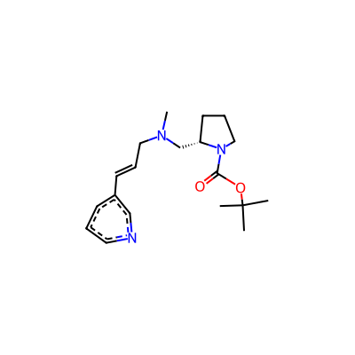 CN(CC=Cc1cccnc1)C[C@@H]1CCCN1C(=O)OC(C)(C)C